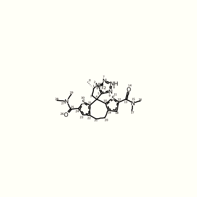 C[C@H](N)CC1(c2nn[nH]n2)c2sc(C(=O)N(C)C)cc2CCc2cc(C(=O)N(C)C)sc21